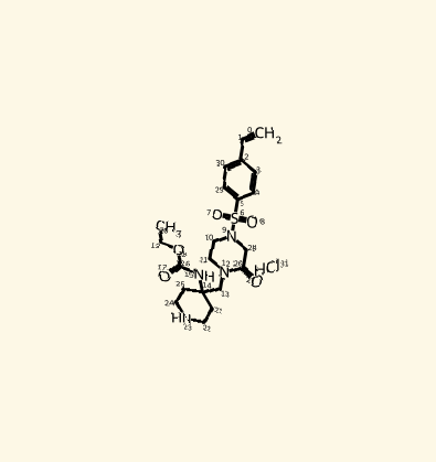 C=Cc1ccc(S(=O)(=O)N2CCN(CC3(NC(=O)OCC)CCNCC3)C(=O)C2)cc1.Cl